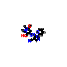 C/C(N=Nc1c(C#N)cnn1-c1ccccn1)=C(/O)N(C)N(C)C=O